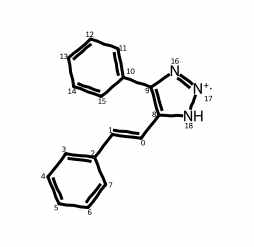 C(=Cc1ccccc1)C1=C(c2ccccc2)N=[N+]N1